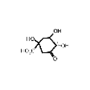 O=C1CC(O)(C(=O)O)CC(O)[C@@H]1O